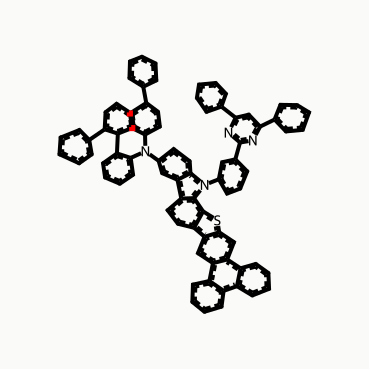 c1ccc(-c2ccc(N(c3ccc4c(c3)c3ccc5c6cc7c8ccccc8c8ccccc8c7cc6sc5c3n4-c3cccc(-c4nc(-c5ccccc5)cc(-c5ccccc5)n4)c3)c3ccccc3-c3ccccc3-c3ccccc3)cc2)cc1